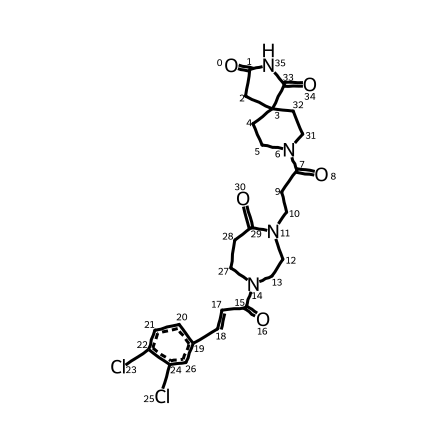 O=C1CC2(CCN(C(=O)CCN3CCN(C(=O)C=Cc4ccc(Cl)c(Cl)c4)CCC3=O)CC2)C(=O)N1